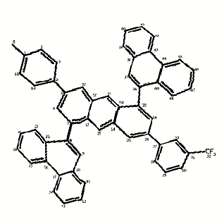 Cc1ccc(-c2cc(-c3cc4ccccc4c4ccccc34)c3cc4cc(-c5cccc(C(F)(F)F)c5)cc(-c5cc6ccccc6c6ccccc56)c4cc3c2)cc1